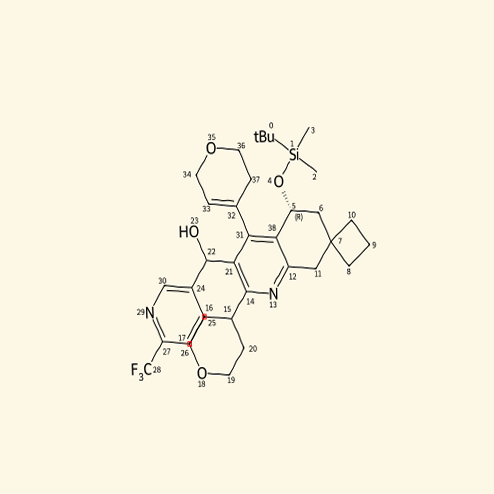 CC(C)(C)[Si](C)(C)O[C@@H]1CC2(CCC2)Cc2nc(C3CCOCC3)c(C(O)c3ccc(C(F)(F)F)nc3)c(C3=CCOCC3)c21